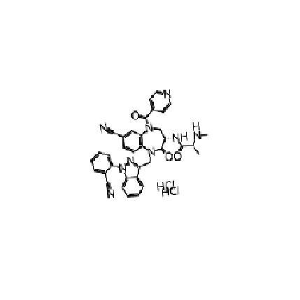 CN[C@@H](C)C(=O)N[C@H]1CN(C(=O)c2ccncc2)c2cc(C#N)ccc2N(Cc2nn(-c3ccccc3C#N)c3ccccc23)C1=O.Cl.Cl